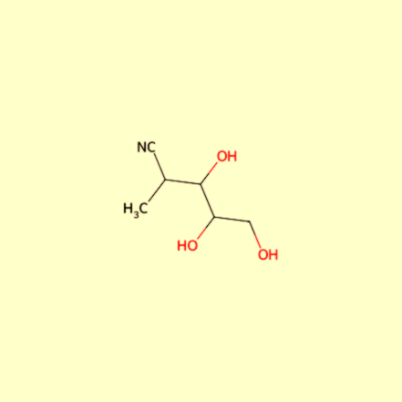 CC(C#N)C(O)C(O)CO